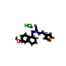 COc1ccc2c(c1)CCCC2CN(C)CCc1ccsc1.Cl